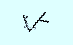 [CH2]C(COC(=O)CCCCCC(CCCCCC)CCCCCC)COC(=O)OCCCN(CC)CC